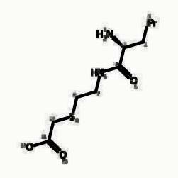 CC(C)C[C@H](N)C(=O)NCCSCC([O])=O